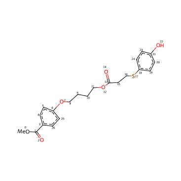 COC(=O)c1ccc(OCCCCOC(=O)CCSc2ccc(O)cc2)cc1